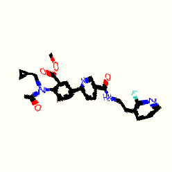 COC(=O)c1cc(-c2ccc(C(=O)NCCc3cccnc3F)cn2)ccc1N(CC1CC1)C(C)=O